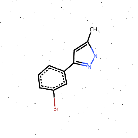 CC1=CC(c2cccc(Br)c2)=N[N]1